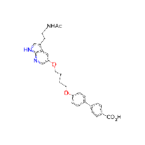 CC(=O)NCCc1c[nH]c2ncc(OCCCCOc3ccc(-c4ccc(C(=O)O)cc4)cc3)cc12